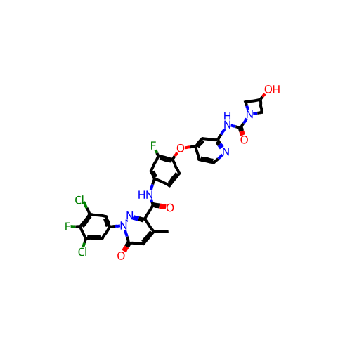 Cc1cc(=O)n(-c2cc(Cl)c(F)c(Cl)c2)nc1C(=O)Nc1ccc(Oc2ccnc(NC(=O)N3CC(O)C3)c2)c(F)c1